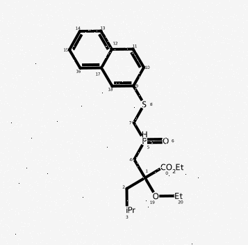 CCOC(=O)C(CC(C)C)(C[PH](=O)CSc1ccc2ccccc2c1)OCC